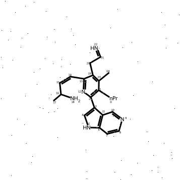 CCCc1c(-c2c[nH]c3ccncc23)nc(/C=C\C(C)N)c(CC=N)c1C